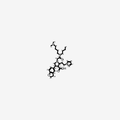 CCCCN(CCCCN(C)C)C(=O)CN1CC(c2ccc3c(c2)CCO3)C(C(=O)O)C1CCn1cccn1